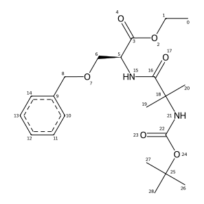 CCOC(=O)[C@H](COCc1ccccc1)NC(=O)C(C)(C)NC(=O)OC(C)(C)C